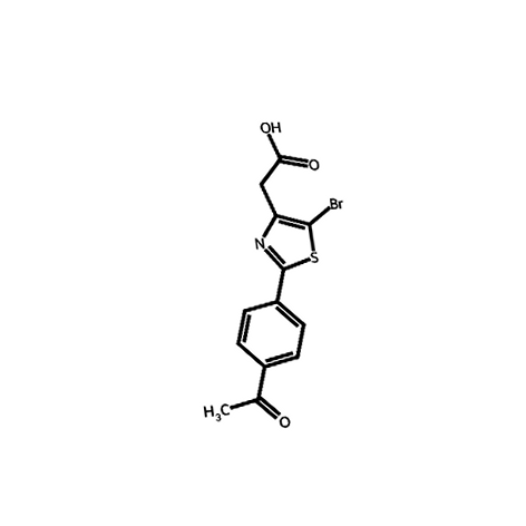 CC(=O)c1ccc(-c2nc(CC(=O)O)c(Br)s2)cc1